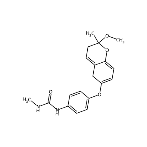 CNC(=O)Nc1ccc(OC2=CC=C3OC(C)(OC)CC=C3C2)cc1